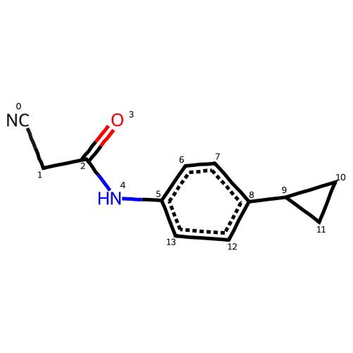 N#CCC(=O)Nc1ccc(C2CC2)cc1